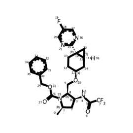 C[C@@H]1C[C@H](NC(=O)C(F)(F)F)[C@H](CO[C@H]2CC[C@@]3(c4ncc(F)cn4)C[C@H]3C2)N1C(=O)OCc1ccccc1